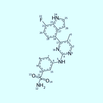 Cc1cnc(Nc2cccc(S(N)(=O)=O)c2)nc1-c1ccc(F)c2[nH]ccc12